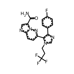 NC(=O)c1cnc2ccc(-c3c(-c4ccc(F)cc4)ncn3CCC(F)(F)F)nn12